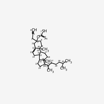 C#CCC1(OC(=S)S)CC[C@@]2(C)C(=CCC3C2CC[C@@]2(C)C3CC[C@@H]2[C@H](C)CCCC(C)C)C1